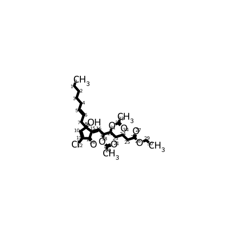 CCCCC/C=C/CC1(O)C=C(Cl)C(=O)/C1=C\C(OC(C)=O)C(CCCC(=O)OCC)OC(C)=O